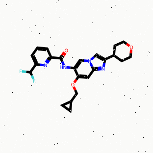 O=C(Nc1cn2cc(C3CCOCC3)nc2cc1OCC1CC1)c1cccc(C(F)F)n1